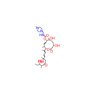 CCC(O)C(C)C1OC1CC(C)(O)/C=C/C=C(\C)C1OC(=O)CC(O)CCC(C)(O)C(OC(=O)NCN2CCN(C)CC2)/C=C/C1C